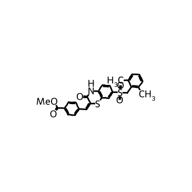 COC(=O)c1ccc(C=C2Sc3cc(S(=O)(=O)Cc4c(C)cccc4C)ccc3NC2=O)cc1